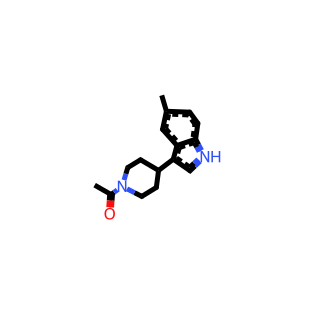 CC(=O)N1CCC(c2c[nH]c3ccc(C)cc23)CC1